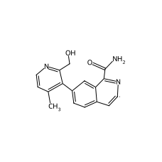 Cc1ccnc(CO)c1-c1ccc2c[c]nc(C(N)=O)c2c1